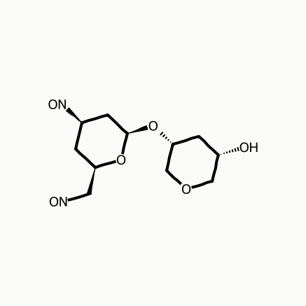 O=NC[C@H]1C[C@@H](N=O)C[C@@H](O[C@H]2COC[C@@H](O)C2)O1